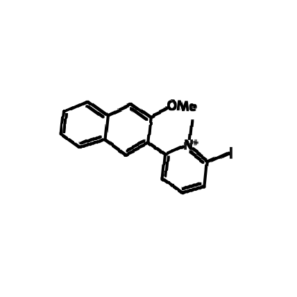 COc1cc2ccccc2cc1-c1cccc(I)[n+]1C